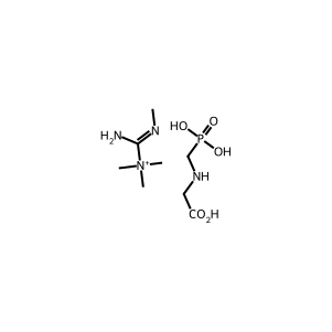 C/N=C(\N)[N+](C)(C)C.O=C(O)CNCP(=O)(O)O